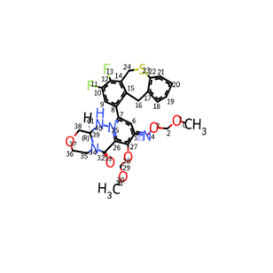 COCO/N=c1\cc(-c2cc(F)c(F)c3c2Cc2ccccc2SC3)n2c(c1OCOC)C(=O)N1CCOC[C@H]1N2